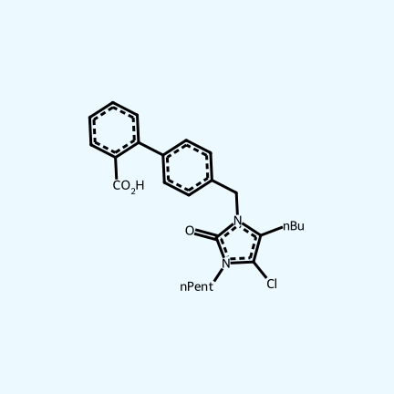 CCCCCn1c(Cl)c(CCCC)n(Cc2ccc(-c3ccccc3C(=O)O)cc2)c1=O